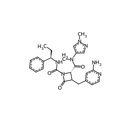 CC[C@@H](NC(=O)N1C(=O)C(Cc2ccnc(N)c2)[C@H]1C(=O)N(C)c1cnn(C)c1)c1ccccc1